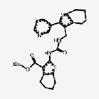 CC(C)(C)OC(=O)c1c(NC(=O)NCc2c(-c3cccnc3)sc3c2CCCC3)sc2c1CCCC2